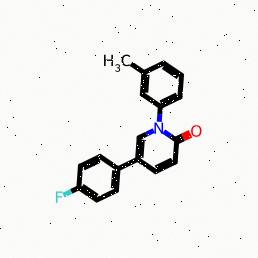 Cc1cccc(-n2cc(-c3ccc(F)cc3)ccc2=O)c1